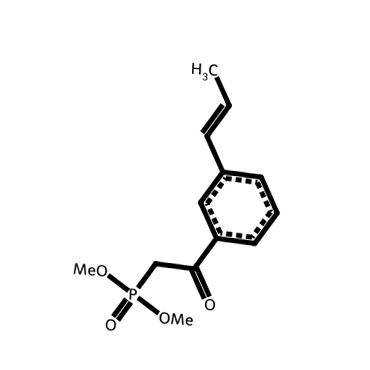 CC=Cc1cccc(C(=O)CP(=O)(OC)OC)c1